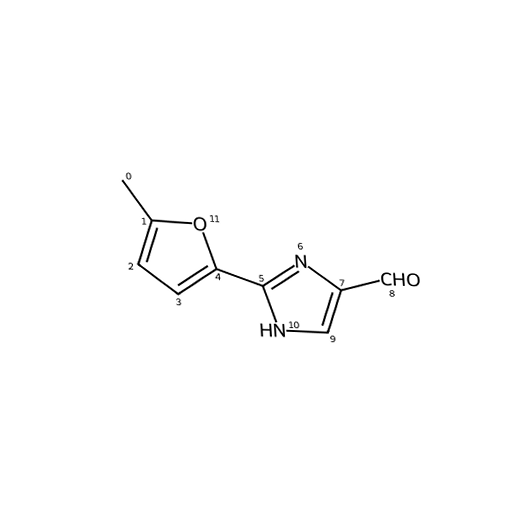 Cc1ccc(-c2nc(C=O)c[nH]2)o1